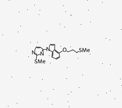 CSCCCOc1cccc2c1ccn2-c1ccnc(SC)n1